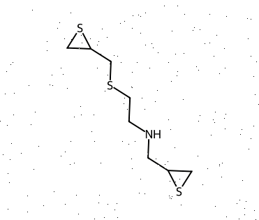 C(CSCC1CS1)NCC1CS1